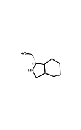 OC[C@H]1NCC2CCCCC21